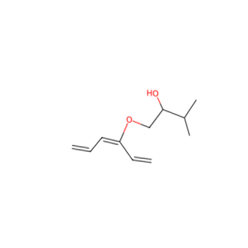 C=C/C=C(\C=C)OCC(O)C(C)C